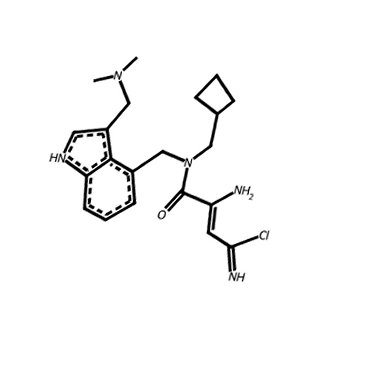 CN(C)Cc1c[nH]c2cccc(CN(CC3CCC3)C(=O)/C(N)=C/C(=N)Cl)c12